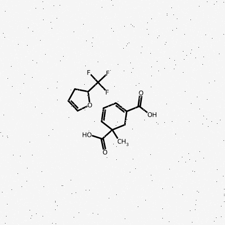 CC1(C(=O)O)C=CC=C(C(=O)O)C1.FC(F)(F)C1CC=CO1